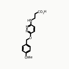 COc1ccc(COc2ccc(NCCC(=O)O)nn2)cc1